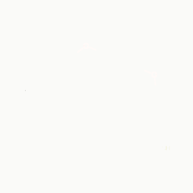 Cc1ccc(Oc2ccc(Oc3ccc(S)cc3)cc2)cc1